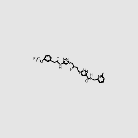 Cc1cccc(CNC(=O)c2cn(CCC(F)Cn3cc(NC(=O)Cc4cccc(OC(F)(F)F)c4)nn3)nn2)n1